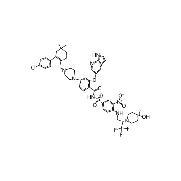 CC1(C)CCC(CN2CCN(c3ccc(C(=O)NS(=O)(=O)c4ccc(NCC(N5CC[P](C)(O)CC5)C(F)(F)F)c([N+](=O)[O-])c4)c(Oc4cnc5[nH]ccc5c4)c3)CC2)=C(c2ccc(Cl)cc2)C1